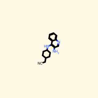 N#CCC1CCC(Nc2c(N)cnc3ccccc23)CC1